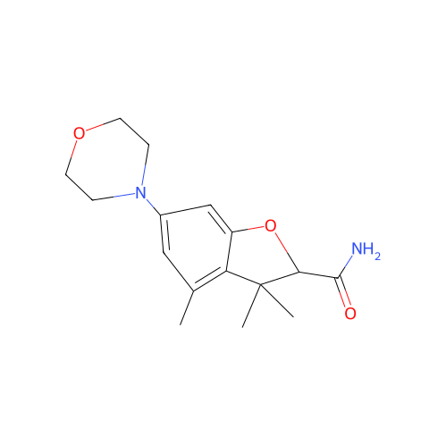 Cc1cc(N2CCOCC2)cc2c1C(C)(C)C(C(N)=O)O2